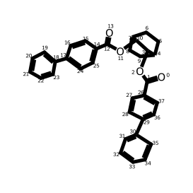 O=C(OC1C2CCC(CC2)C1OC(=O)c1ccc(-c2ccccc2)cc1)c1ccc(-c2ccccc2)cc1